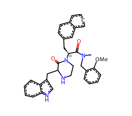 COc1ccccc1CN(C)C(=O)[C@H](Cc1ccc2ccccc2c1)N1CCNC(Cc2c[nH]c3ccccc23)C1=O